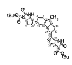 Cn1c2ccc(-c3scc4c3[nH]c(=O)n4C(=O)OC(C)(C)C)cc2c2cc(-c3scc4c3[nH]c(=O)n4C(=O)OC(C)(C)C)ccc21